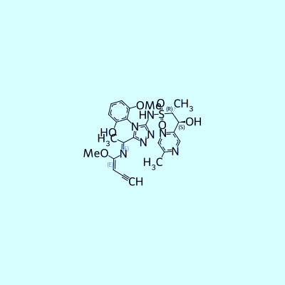 C#C/C=C(\N=C(/C)c1nnc(NS(=O)(=O)[C@H](C)[C@@H](O)c2cnc(C)cn2)n1-c1c(O)cccc1OC)OC